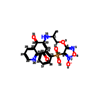 CC(COc1no[n+]([O-])c1S(=O)(=O)c1ccccc1)NC1=CC(=O)c2ncccc2C1=O